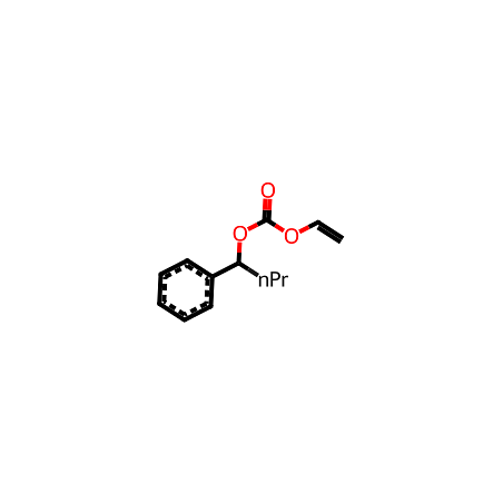 C=COC(=O)OC(CCC)c1ccccc1